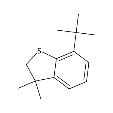 CC(C)(C)c1cccc2c1SCC2(C)C